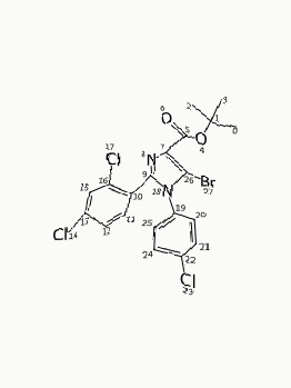 CC(C)(C)OC(=O)c1nc(-c2ccc(Cl)cc2Cl)n(-c2ccc(Cl)cc2)c1Br